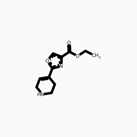 CCOC(=O)c1coc(C2=CCNCC2)n1